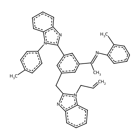 C=CCn1c(Cc2cc(/C(C)=N/c3ccccc3C)cc(-c3nc4ccccc4n3-c3ccc(C)cc3)c2)nc2ccccc21